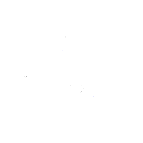 CCOC(=O)C12CC1/C=C\CCCCN(C)C(=O)[C@@H]1C[C@H](Oc3cc(-c4nc(C(C)C)cs4)nc4c(C)c(OC)ccc34)CC1C(=O)N2